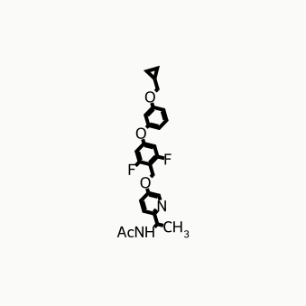 CC(=O)NC(C)c1ccc(OCc2c(F)cc(Oc3cccc(OCC4CC4)c3)cc2F)cn1